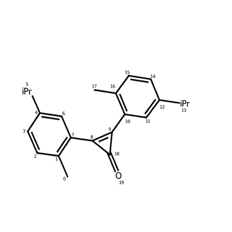 Cc1ccc(C(C)C)cc1-c1c(-c2cc(C(C)C)ccc2C)c1=O